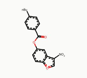 CCCCc1ccc(C(=O)Oc2ccc3occ([N+](=O)[O-])c3c2)cc1